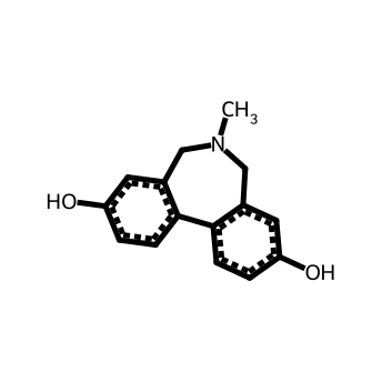 CN1Cc2cc(O)ccc2-c2ccc(O)cc2C1